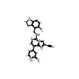 N#Cc1cn2c(NCc3c(F)ccc4c3CCO4)ncc(-c3cc[nH]c(=O)c3)c2n1